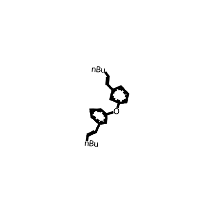 CCCCC=Cc1cccc(Oc2cccc(C=CCCCC)c2)c1